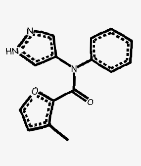 Cc1ccoc1C(=O)N(c1ccccc1)c1cn[nH]c1